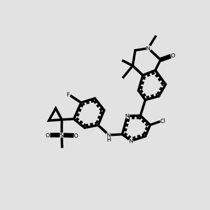 CN1CC(C)(C)c2cc(-c3nc(Nc4ccc(F)c(C5(S(C)(=O)=O)CC5)c4)ncc3Cl)ccc2C1=O